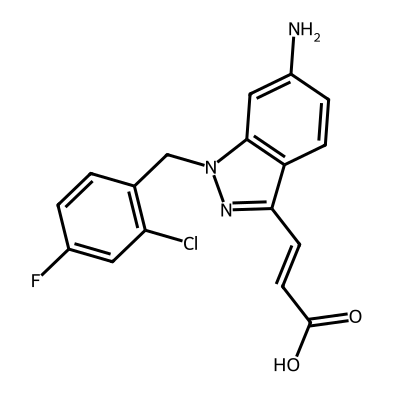 Nc1ccc2c(C=CC(=O)O)nn(Cc3ccc(F)cc3Cl)c2c1